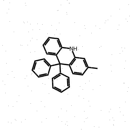 Cc1ccc2c(c1)Nc1ccccc1C2(c1ccccc1)c1ccccc1